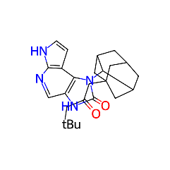 CC(C)(C)CC(=O)CC12CC3CC(C1)C(n1c(=O)[nH]c4cnc5[nH]ccc5c41)C(C3)C2